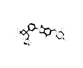 CCN1CCN(Cc2cc3c(c(C(F)(F)F)c2)CN(c2cccc(C4([C@H](F)c5nncn5C)CC(F)(F)C4)c2)C3=O)[C@@H](C(C)C)C1